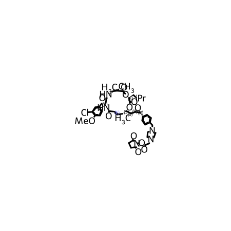 COc1ccc(C[C@H]2NC(=O)/C=C/C[C@@H]([C@H](C)[C@H]3O[C@@H]3c3ccc(CN4CCN(CC(=O)ON5C(=O)CCC5=O)CC4)cc3)OC(=O)[C@H](CC(C)C)OC(=O)C(C)(C)CNC2=O)cc1Cl